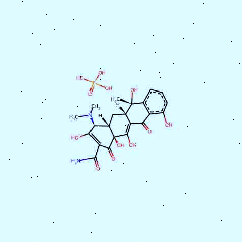 CN(C)[C@@H]1C(O)=C(C(N)=O)C(=O)[C@@]2(O)C(O)=C3C(=O)c4c(O)cccc4[C@@](C)(O)[C@H]3C[C@@H]12.O=P(O)(O)O